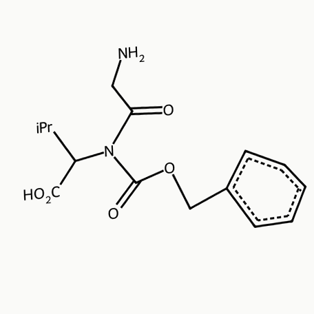 CC(C)C(C(=O)O)N(C(=O)CN)C(=O)OCc1ccccc1